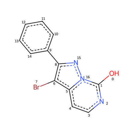 Oc1nccc2c(Br)c(-c3ccccc3)nn12